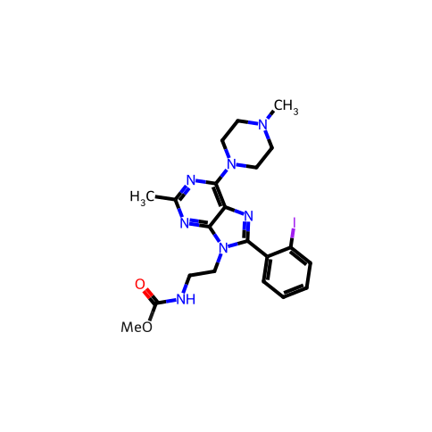 COC(=O)NCCn1c(-c2ccccc2I)nc2c(N3CCN(C)CC3)nc(C)nc21